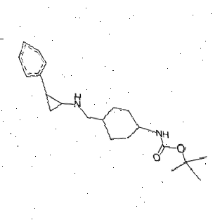 CC(C)(C)OC(=O)NC1CCC(CNC2CC2c2ccccc2)CC1